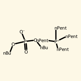 CCCCC[P+](CCCCC)(CCCCC)CCCCC.CCCCOP(=O)([O-])OCCCC